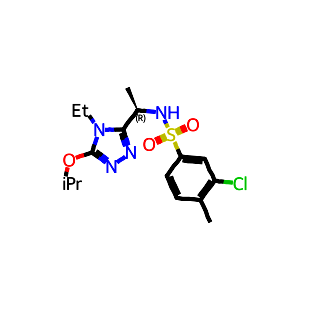 CCn1c(OC(C)C)nnc1[C@@H](C)NS(=O)(=O)c1ccc(C)c(Cl)c1